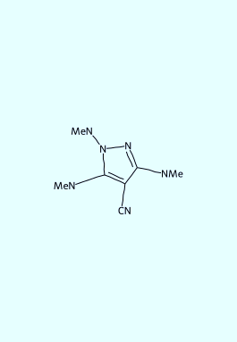 CNc1nn(NC)c(NC)c1C#N